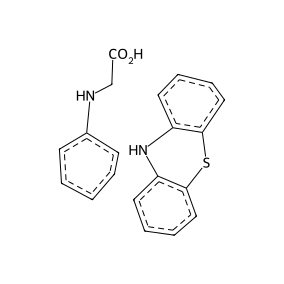 O=C(O)CNc1ccccc1.c1ccc2c(c1)Nc1ccccc1S2